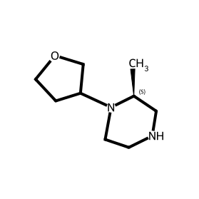 C[C@H]1CNCCN1C1CCOC1